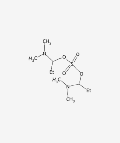 CCC(OS(=O)(=O)OC(CC)N(C)C)N(C)C